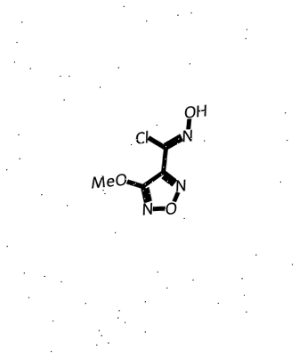 COc1nonc1C(Cl)=NO